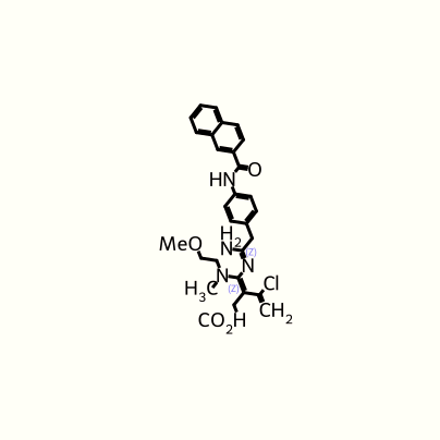 C=C(Cl)/C(CC(=O)O)=C(\N=C(/N)Cc1ccc(NC(=O)c2ccc3ccccc3c2)cc1)N(C)CCOC